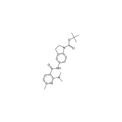 Cc1ccc(C(=O)Nc2ccc3c(c2)CCN3C(=O)OC(C)(C)C)c(N(C)C)n1